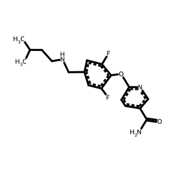 CC(C)CCNCc1cc(F)c(Oc2ccc(C(N)=O)cn2)c(F)c1